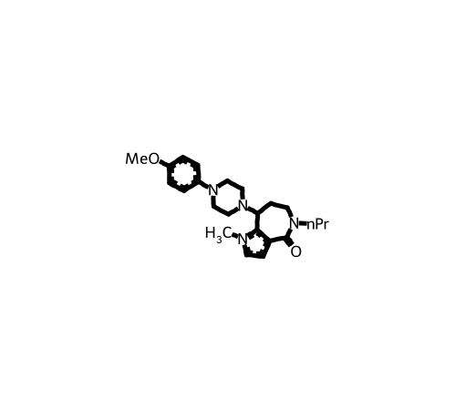 CCCN1CCC(N2CCN(c3ccc(OC)cc3)CC2)c2c(ccn2C)C1=O